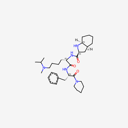 CC(C)N(C)CCCC[C@H](NC(=O)[C@@H]1C[C@@H]2CCCC[C@@H]2N1)C(=O)N[C@@H](Cc1ccccc1)C(=O)N1CCCCC1